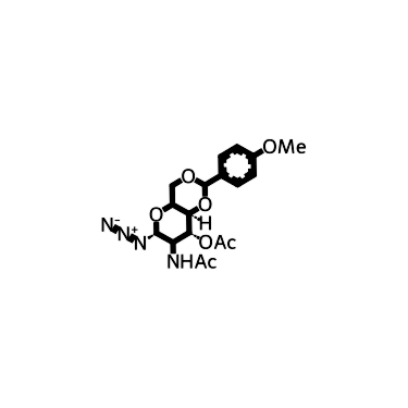 COc1ccc(C2OCC3O[C@@H](N=[N+]=[N-])C(NC(C)=O)[C@@H](OC(C)=O)[C@@H]3O2)cc1